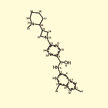 Cc1cn2cc(NC(O)c3cnc(N4CC(C5CCCCN5C)C4)cn3)nc(C)c2n1